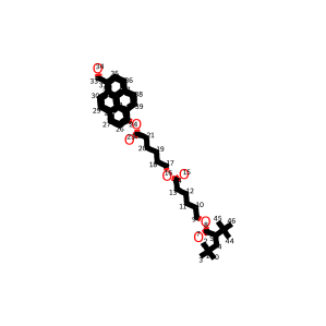 CC(C)(C)CC(C(=O)OCCCCCC(=O)OCCCCCC(=O)Oc1ccc2ccc3c(C=O)ccc4ccc1c2c43)C(C)(C)C